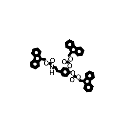 O=C(NCCc1ccc(OC(=O)OCC2c3ccccc3-c3ccccc32)c(OC(=O)OCC2c3ccccc3-c3ccccc32)c1)OCC1c2ccccc2-c2ccccc21